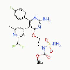 Cc1cc(-c2c(OCCN(C(=O)OC(C)(C)C)S(N)(=O)=O)nc(N)nc2-c2ccc(F)cc2)cc(C(F)F)n1